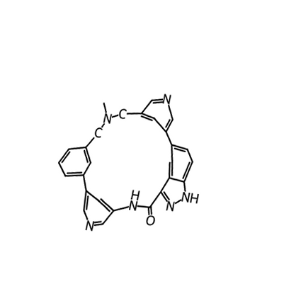 CN1Cc2cccc(c2)-c2cncc(c2)NC(=O)c2n[nH]c3ccc(cc23)-c2cncc(c2)C1